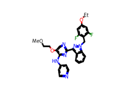 CCOc1cc(F)c(Cn2nc(-c3ncc(OCCOC)c(Nc4ccncc4)n3)c3ccccc32)c(F)c1